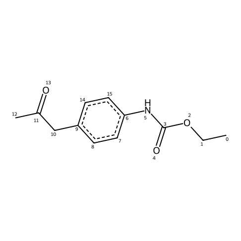 CCOC(=O)Nc1ccc(CC(C)=O)cc1